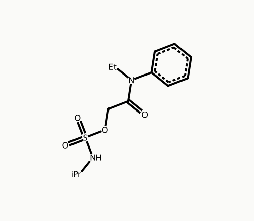 CCN(C(=O)COS(=O)(=O)NC(C)C)c1ccccc1